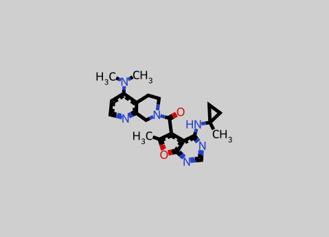 Cc1oc2ncnc(NC3(C)CC3)c2c1C(=O)N1CCc2c(N(C)C)ccnc2C1